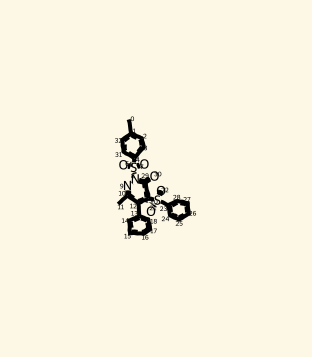 Cc1ccc(S(=O)(=O)n2nc(C)c(-c3ccccc3)c(S(=O)(=O)c3ccccc3)c2=O)cc1